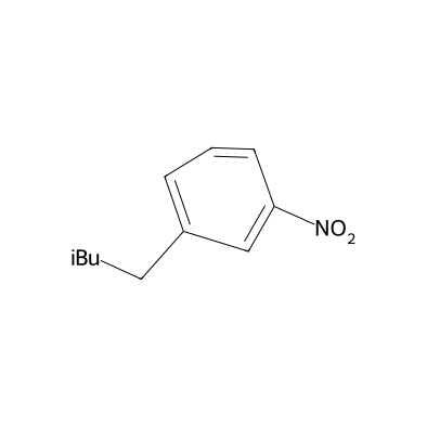 CCC(C)Cc1cccc([N+](=O)[O-])c1